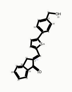 O=C1/C(=C/c2ccc(-c3ccc(CO)cc3)s2)Cc2ccccc21